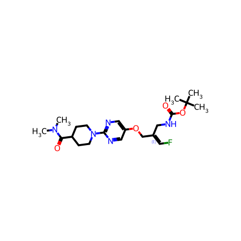 CN(C)C(=O)C1CCN(c2ncc(OC/C(=C/F)CNC(=O)OC(C)(C)C)cn2)CC1